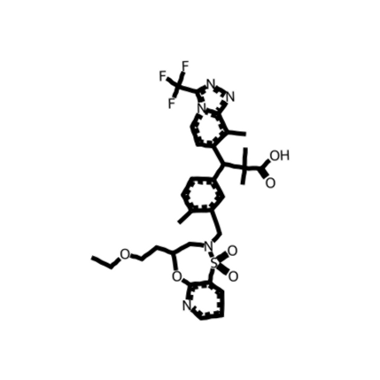 CCOCCC1CN(Cc2cc(C(c3ccn4c(C(F)(F)F)nnc4c3C)C(C)(C)C(=O)O)ccc2C)S(=O)(=O)c2cccnc2O1